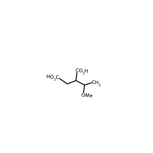 COC(C)C(CC(=O)O)C(=O)O